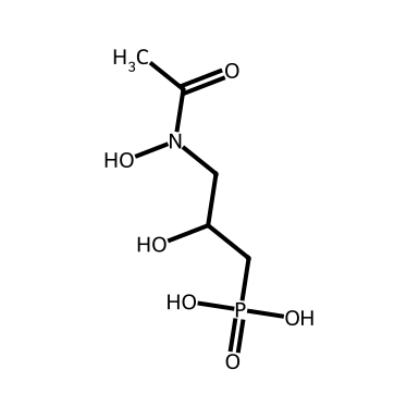 CC(=O)N(O)CC(O)CP(=O)(O)O